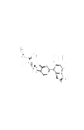 C=Cc1ccc2[nH]ncc2c1-c1ccc2nc(NC(=O)C3C[C@@H]3F)sc2c1